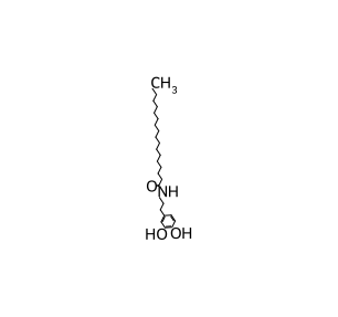 CCCCCCCCCCCCCCCCCC(=O)NCCCc1ccc(O)c(O)c1